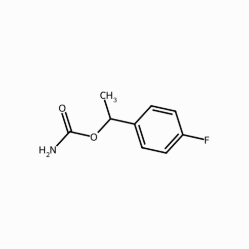 CC(OC(N)=O)c1ccc(F)cc1